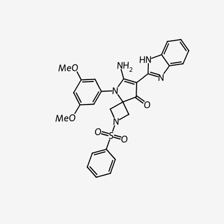 COc1cc(OC)cc(N2C(N)=C(c3nc4ccccc4[nH]3)C(=O)C23CN(S(=O)(=O)c2ccccc2)C3)c1